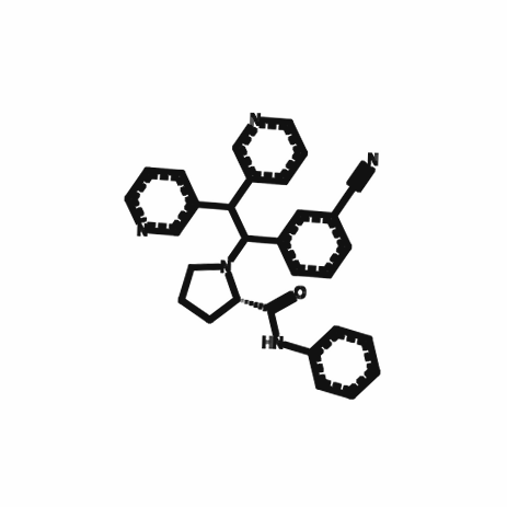 N#Cc1cccc(C(C(c2cccnc2)c2cccnc2)N2CCC[C@H]2C(=O)Nc2ccccc2)c1